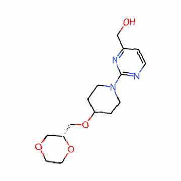 OCc1ccnc(N2CCC(OC[C@H]3COCCO3)CC2)n1